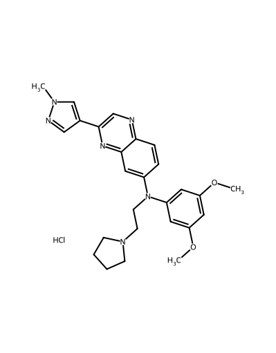 COc1cc(OC)cc(N(CCN2CCCC2)c2ccc3ncc(-c4cnn(C)c4)nc3c2)c1.Cl